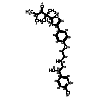 CN(C)C(=O)C(C)(C)c1nc(-c2ccc(OCCNC[C@H](O)c3ccc(Cl)nc3)cc2)co1